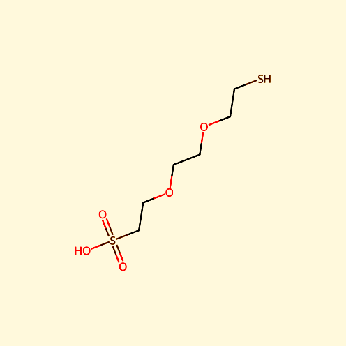 O=S(=O)(O)CCOCCOCCS